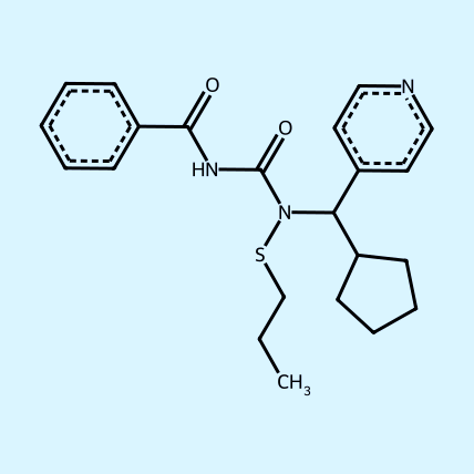 CCCSN(C(=O)NC(=O)c1ccccc1)C(c1ccncc1)C1CCCC1